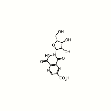 O=C(O)c1cnc2c(=O)[nH]n([C@@H]3O[C@H](CO)[C@@H](O)[C@H]3O)c(=O)c2n1